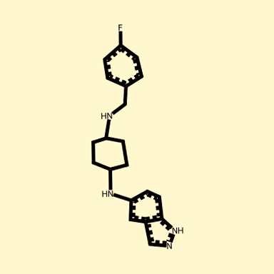 Fc1ccc(CNC2CCC(Nc3ccc4[nH]ncc4c3)CC2)cc1